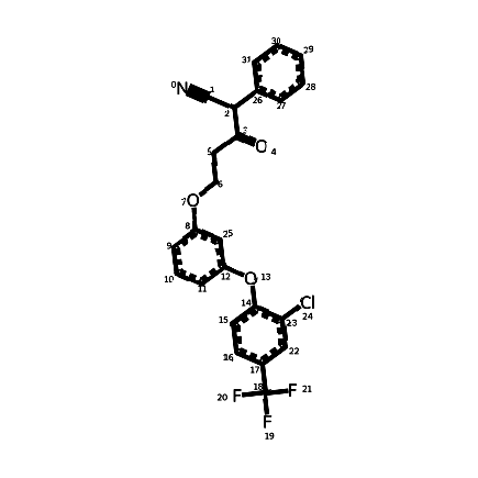 N#CC(C(=O)CCOc1cccc(Oc2ccc(C(F)(F)F)cc2Cl)c1)c1ccccc1